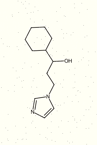 OC(CCn1ccnc1)C1CCCCC1